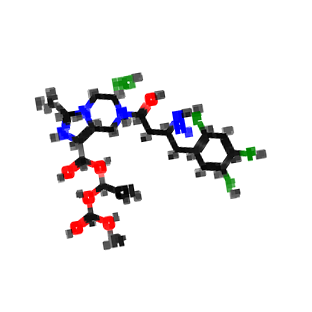 CC(C)OC(=O)OC(C)OC(=O)c1nc(C(F)(F)F)n2c1CN(C(=O)CC(N)Cc1cc(F)c(F)cc1F)CC2.Cl